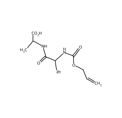 C=CCOC(=O)NC(C(=O)NC(C)C(=O)O)C(C)C